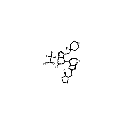 O=C(O)C(F)(F)F.O=C1CCCN1Cc1cc2nccc(-c3cc(Cl)cc4ccn(CC5(F)CCNCC5)c34)c2s1